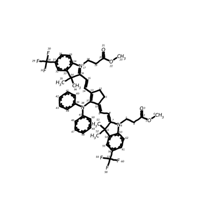 COC(=O)CCN1/C(=C/C=C2\CCC(/C=C/C3=[N+](CCC(=O)OC)c4ccc(C(F)(F)F)cc4C3(C)C)=C2N(c2ccccc2)c2ccccc2)C(C)(C)c2cc(C(F)(F)F)ccc21